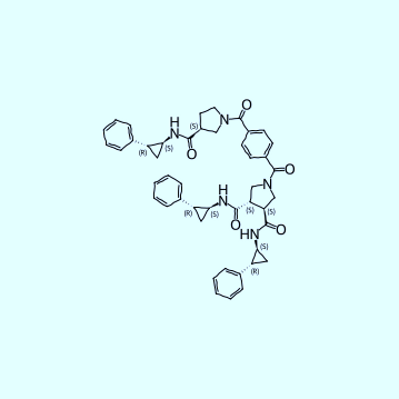 O=C(N[C@H]1C[C@@H]1c1ccccc1)[C@H]1CCN(C(=O)c2ccc(C(=O)N3C[C@@H](C(=O)N[C@H]4C[C@@H]4c4ccccc4)[C@H](C(=O)N[C@H]4C[C@@H]4c4ccccc4)C3)cc2)C1